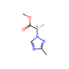 COC(=O)[C@H](C)n1cnc(C)n1